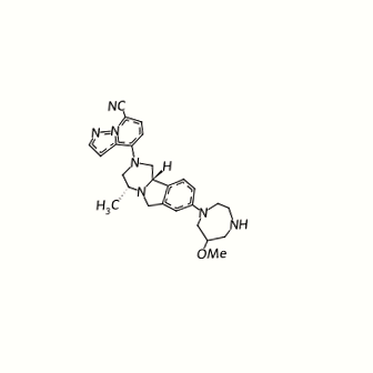 COC1CNCCN(c2ccc3c(c2)CN2[C@H](C)CN(c4ccc(C#N)n5nccc45)C[C@H]32)C1